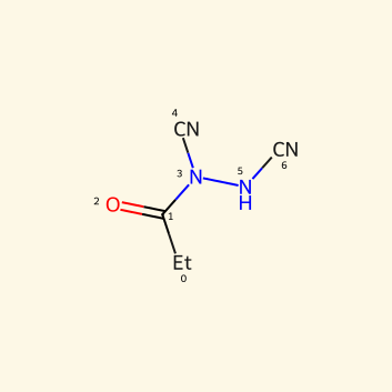 CCC(=O)N(C#N)NC#N